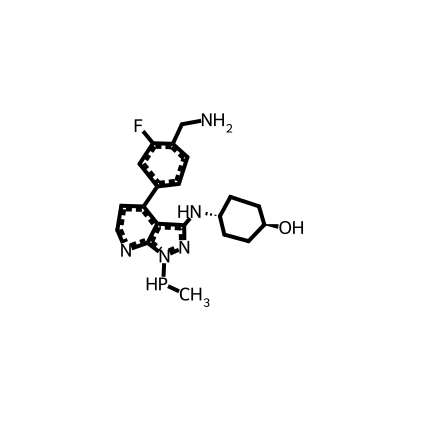 CPn1nc(N[C@H]2CC[C@H](O)CC2)c2c(-c3ccc(CN)c(F)c3)ccnc21